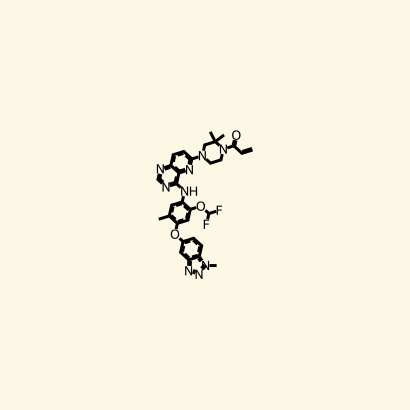 C=CC(=O)N1CCN(c2ccc3ncnc(Nc4cc(C)c(Oc5ccc6c(c5)nnn6C)cc4OC(F)F)c3n2)CC1(C)C